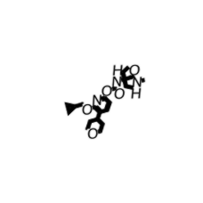 CCC(CC)(NC(=O)Oc1ccc(C2CCOCC2)c(OCC2CC2)n1)C(=O)NC